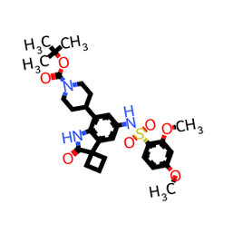 COc1ccc(S(=O)(=O)Nc2cc(C3CCN(C(=O)OC(C)(C)C)CC3)c3c(c2)C2(CCC2)C(=O)N3)c(OC)c1